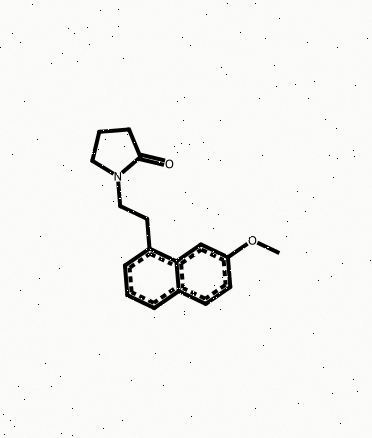 COc1ccc2cccc(CCN3CCCC3=O)c2c1